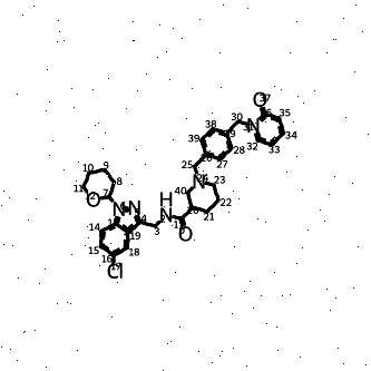 O=C(NCc1nn(C2CCCCO2)c2ccc(Cl)cc12)C1CCCN(Cc2ccc(Cn3ccccc3=O)cc2)C1